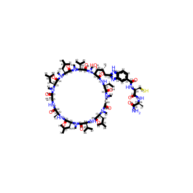 CC[C@@H]1NC(=O)[C@H]([C@H](O)[C@H](C)Cc2nc3cc(C(=O)N[C@@H](CS)C(=O)N[C@@H](C)C(N)=O)ccc3[nH]2)N(C)C(=O)[C@H](C(C)C)N(C)C(=O)[C@H](CC(C)C)N(C)C(=O)[C@H](CC(C)C)N(C)C(=O)[C@@H](C)NC(=O)[C@H](C)NC(=O)[C@H](CC(C)C)N(C)C(=O)[C@H](C(C)C)NC(=O)[C@H](CC(C)C)N(C)C(=O)CN(C)C1=O